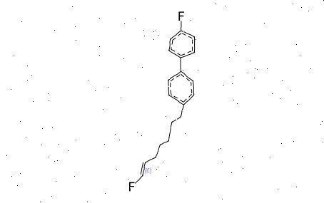 F/C=C/CCCCCc1ccc(-c2ccc(F)cc2)cc1